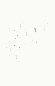 CC(O)CC(=O)O[C@@H]1C(CO)O[C@@H](O[C@H]2C(O)[C@H](O)C(CO)O[C@H]2C)[C@@H](O)C1O